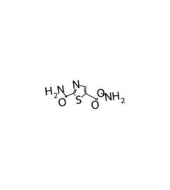 NOC(=O)c1cnc(C(N)=O)s1